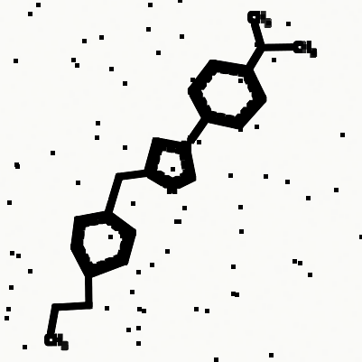 CCCc1ccc(Cc2cn(-c3ccc(C(C)C)cc3)cn2)cc1